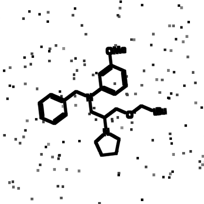 COc1cccc(N(Cc2ccccc2)CC(COCC(C)(C)C)N2CCCC2)c1